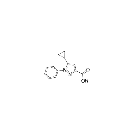 O=C(O)c1cc(C2CC2)n(-c2ccccc2)n1